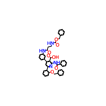 O=C(CCNC(=O)OCc1ccccc1)Nc1cccc(-c2cc(-c3ccccc3OCc3ccccc3)nc(NC(=O)c3ccccc3)c2C(=O)O)c1